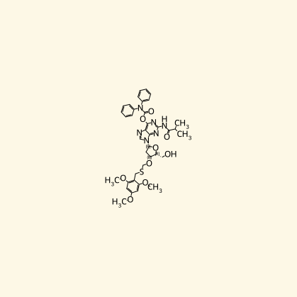 COc1cc(OC)c(CSCO[C@@H]2C[C@H](n3cnc4c(OC(=O)N(c5ccccc5)c5ccccc5)nc(NC(=O)C(C)C)nc43)O[C@@H]2CO)c(OC)c1